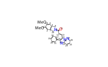 COc1cc2c(cc1OC)CN(C(=O)/C=C/c1c(-c3ccccc3)nc3cccnn13)C2